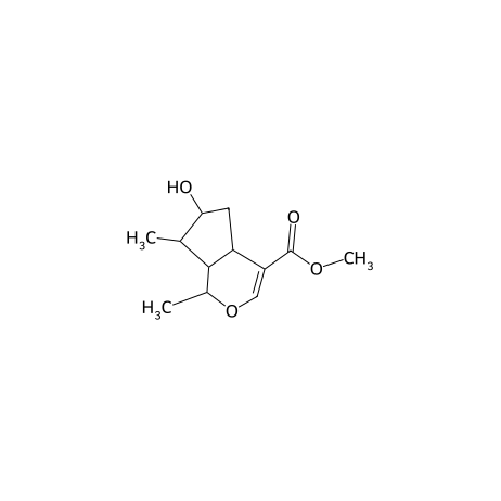 COC(=O)C1=COC(C)C2C1CC(O)C2C